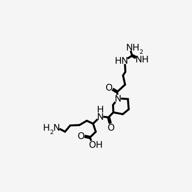 N=C(N)NCCCC(=O)N1CCCC(C(=O)NC(CCCCN)CC(=O)O)C1